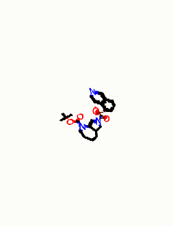 CC(C)(C)OC(=O)N1CCCCC2CN(S(=O)(=O)c3cccc4cnccc34)CC21